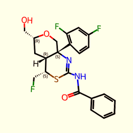 O=C(NC1=N[C@@]2(c3ccc(F)cc3F)CO[C@@H](CO)C[C@H]2[C@@H](CF)S1)c1ccccc1